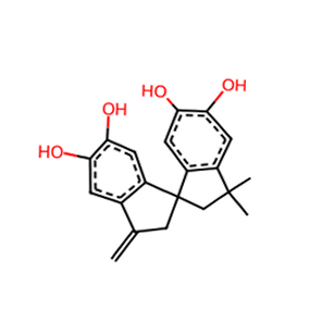 C=C1CC2(CC(C)(C)c3cc(O)c(O)cc32)c2cc(O)c(O)cc21